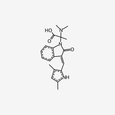 Cc1cc(C)c(C=C2C(=O)N(C(C)(C(=O)O)N(C)C)c3ccccc32)[nH]1